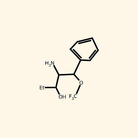 CCC(O)C(N)C(OC(F)(F)F)c1ccccc1